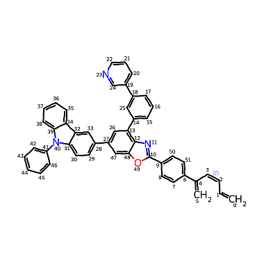 C=C/C=C\C(=C)c1ccc(-c2nc3c(-c4cccc(-c5cccnc5)c4)cc(-c4ccc5c(c4)c4ccccc4n5-c4ccccc4)cc3o2)cc1